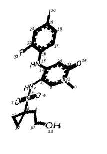 Cn1cc(NS(=O)(=O)C2(CCO)CC2)c(Nc2ccc(I)cc2F)cc1=O